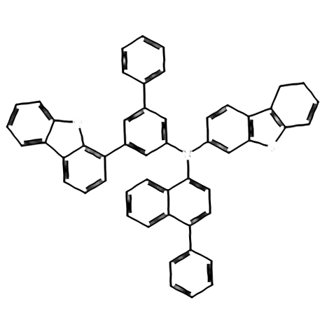 C1=Cc2sc3cc(N(c4cc(-c5ccccc5)cc(-c5cccc6c5oc5ccccc56)c4)c4ccc(-c5ccccc5)c5ccccc45)ccc3c2CC1